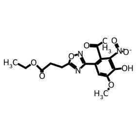 CCOC(=O)CCc1nc(-c2cc(OC)c(O)c([N+](=O)[O-])c2C(C)=O)no1